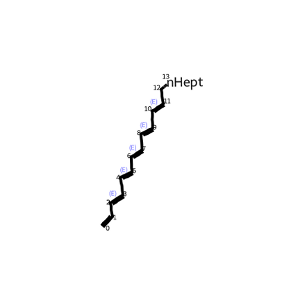 C=C/C=C/C=C/C=C/C=C/C=C/CCCCCCCC